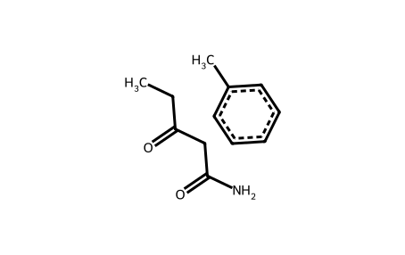 CCC(=O)CC(N)=O.Cc1ccccc1